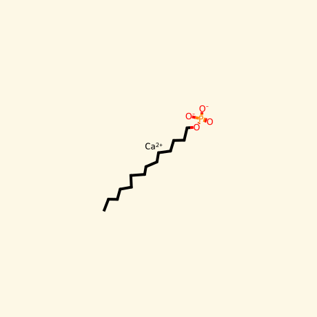 CCCCCCCCCCCCCCOP(=O)([O-])[O-].[Ca+2]